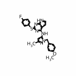 COc1ccc(Cn2nc(C)cc2Nc2nc(Sc3ccc(F)cc3)nc3[nH]ccc23)cc1